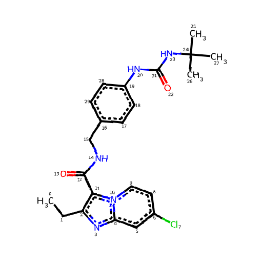 CCc1nc2cc(Cl)ccn2c1C(=O)NCc1ccc(NC(=O)NC(C)(C)C)cc1